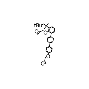 CC(C)(C)CC(C)(C)c1cccc(C2=CCC(c3ccc(OCC4CO4)cc3)=CC2)c1OCC1CO1